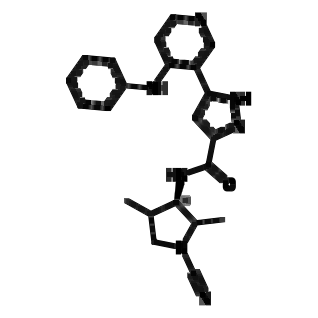 CC1CN(C#N)C(C)[C@@H]1NC(=O)c1cc(-c2cnccc2Nc2ccccc2)[nH]n1